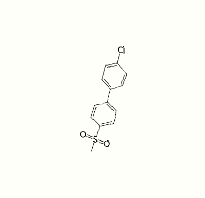 CS(=O)(=O)c1ccc(-c2ccc(Cl)cc2)cc1